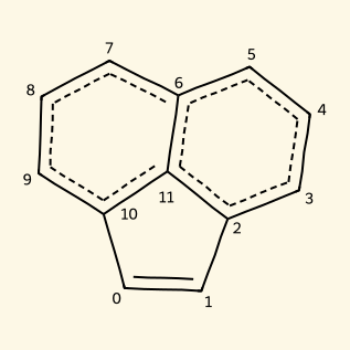 C1=Cc2cccc3cccc1c23